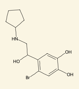 Oc1cc(Br)c(C(O)CNC2CCCC2)cc1O